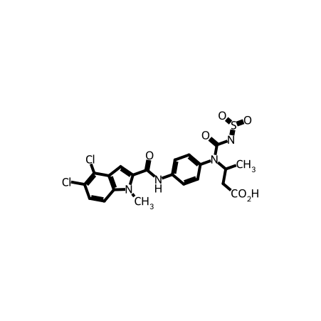 CC(CC(=O)O)N(C(=O)N=S(=O)=O)c1ccc(NC(=O)c2cc3c(Cl)c(Cl)ccc3n2C)cc1